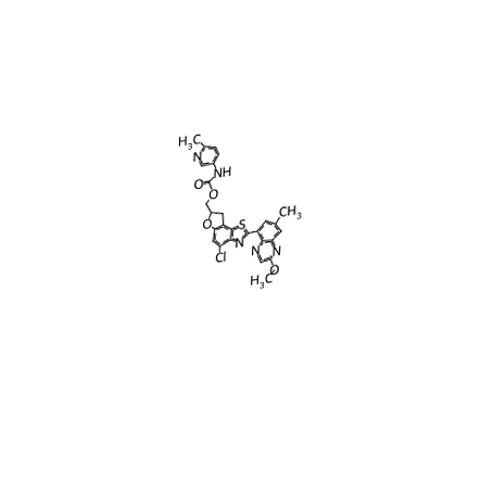 COc1cnc2c(-c3nc4c(Cl)cc5c(c4s3)CC(COC(=O)Nc3ccc(C)nc3)O5)cc(C)cc2n1